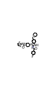 O=C(/N=c1\[nH]c2ccc(CN3CCCCC3)cc2n1[C@H]1CC[C@@H](C(=O)Nc2nccs2)CC1)c1ccc(F)cc1